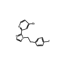 Fc1ccc(CCn2ccnc2-c2cc(Br)ccn2)cc1